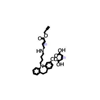 C#CCOC(=O)/C=C/CNCCCCN1c2ccccc2CCc2ccc(Cl)cc21.O=C(O)/C=C\C(=O)O